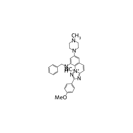 COc1ccc(C2=N[N+]3(C#N)C(=N2)C=Cc2cc(N4CCN(C)CC4)cc(NCc4ccccc4)c23)cc1